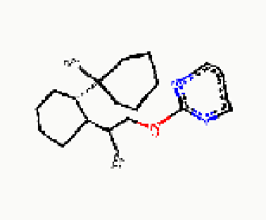 CCCC1([C@H]2CCCC[C@@H]2C(CC)COc2ncccn2)CCCCC1